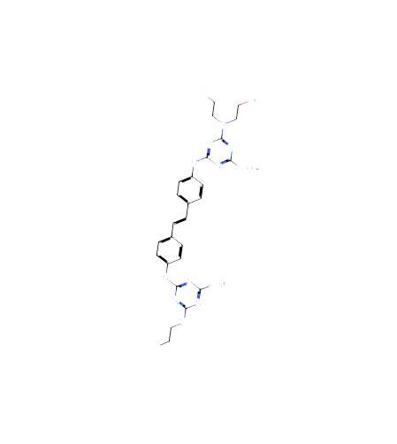 COc1nc(NCCS(=O)(=O)O)nc(Nc2ccc(C=Cc3ccc(Nc4nc(OC)nc(N(CCO)CCO)n4)cc3)cc2)n1